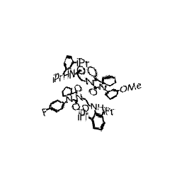 CC(C)c1cccc(C(C)C)c1NC(=O)CN1C(=O)N(c2ccc(F)cc2)C2(CCCC2)C1=O.COc1cccc(N2C(=O)N(CC(=O)Nc3c(C(C)C)cccc3C(C)C)C(=O)C23CCCCC3)c1